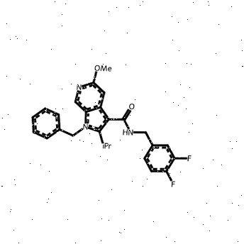 COc1cc2c(C(=O)NCc3ccc(F)c(F)c3)c(C(C)C)n(Cc3ccccc3)c2cn1